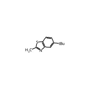 Cc1nc2cc(C(C)(C)C)ccc2s1